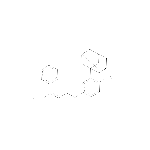 COc1ccc(CCC=C(C=O)c2ccccc2)cc1C12CC3CC(CC(C3)C1)C2